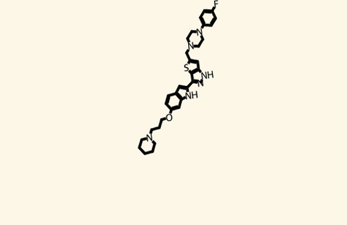 Fc1ccc(N2CCN(Cc3cc4[nH]nc(-c5cc6ccc(OCCCN7CCCCC7)cc6[nH]5)c4s3)CC2)cc1